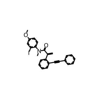 C=C(C(=O)N(C)c1ccc(OC)cc1I)c1ccccc1C#Cc1ccccc1